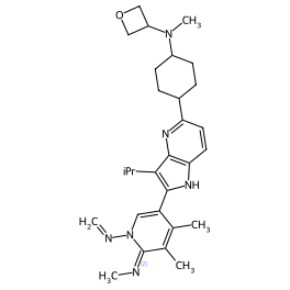 C=Nn1cc(-c2[nH]c3ccc(C4CCC(N(C)C5COC5)CC4)nc3c2C(C)C)c(C)c(C)/c1=N/C